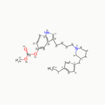 CCc1ccc(CC2CCCN(CCCCc3c[nH]c4ccc(OC(=O)OC)cc34)C2)cc1